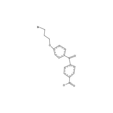 O=C(c1ccc(OCCCBr)cc1)c1ccc([N+](=O)[O-])cc1